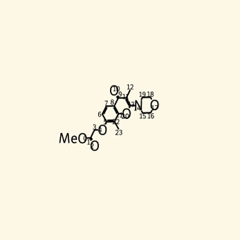 COC(=O)COc1ccc2c(=O)c(C)c(N3CCOCC3)oc2c1C